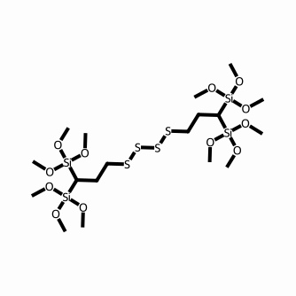 CO[Si](OC)(OC)C(CCSSSSCCC([Si](OC)(OC)OC)[Si](OC)(OC)OC)[Si](OC)(OC)OC